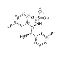 N[C@H](c1cccc(F)c1)[C@H](NS(=O)(=O)C(F)(F)F)c1cccc(F)c1